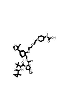 Cc1ncsc1-c1ccc(CNC(=O)[C@@H]2C[C@@H](O)CN2C(=O)C(NC(=O)C2(F)CC2)C(C)(C)C)c(OCCOCCN2CCC(NC(=O)O)CC2)c1